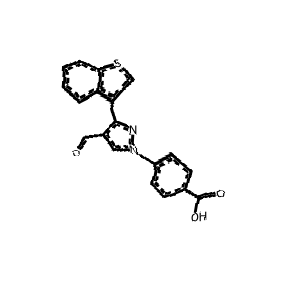 O=Cc1cn(-c2ccc(C(=O)O)cc2)nc1-c1csc2ccccc12